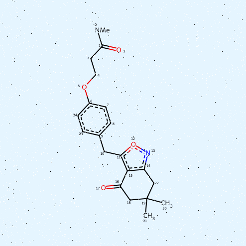 CNC(=O)CCOc1ccc(Cc2onc3c2C(=O)CC(C)(C)C3)cc1